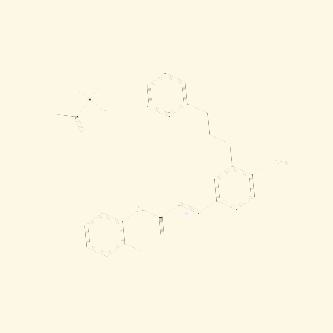 COc1ccc(/C=C/C(=O)Nc2ccccc2C(=O)O)cc1OCCc1cccnc1.O=C(O)C(F)(F)F